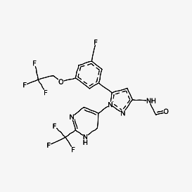 O=CNc1cc(-c2cc(F)cc(OCC(F)(F)F)c2)n(C2=CN=C(C(F)(F)F)NC2)n1